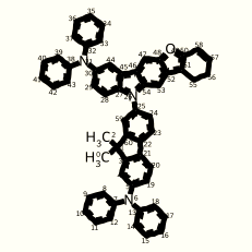 CC1(C)c2cc(N(c3ccccc3)c3ccccc3)ccc2-c2ccc(-n3c4ccc(N(c5ccccc5)c5ccccc5)cc4c4cc5oc6c(c5cc43)CCC=C6)cc21